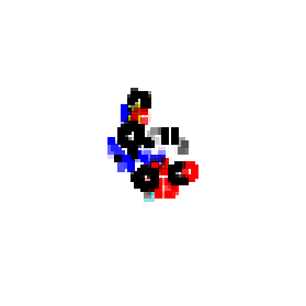 C=Cc1cc(N=S2(=O)CCCC2)cc2ncnc(Nc3ccc(F)cc3O[C@H]3COC[C@H]3O)c12